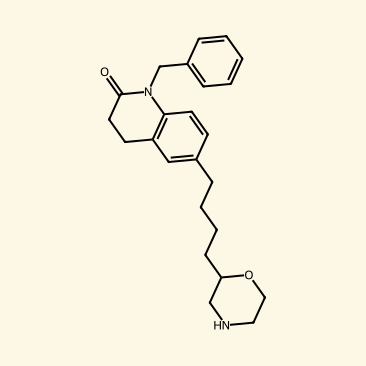 O=C1CCc2cc(CCCCC3CNCCO3)ccc2N1Cc1ccccc1